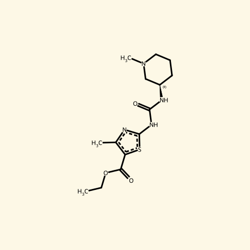 CCOC(=O)c1sc(NC(=O)N[C@@H]2CCCN(C)C2)nc1C